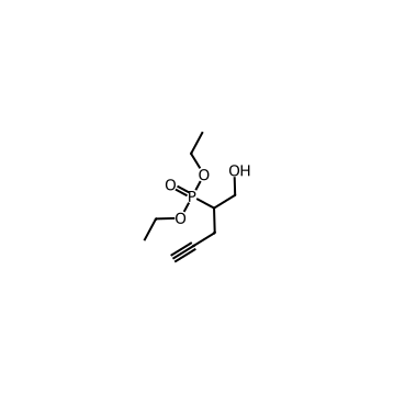 C#CCC(CO)P(=O)(OCC)OCC